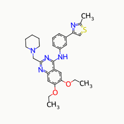 CCOc1cc2nc(CN3CCCCC3)nc(Nc3cccc(-c4csc(C)n4)c3)c2cc1OCC